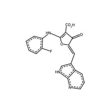 O=C(O)C1=C(Nc2ccccc2F)O/C(=C\c2c[nH]c3ncccc23)C1=O